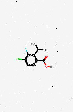 COC(=O)c1ccc(Cl)c(F)c1C(C)C